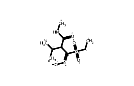 CCS(=O)(=O)C(=NO)C(C(=O)NC)C(C)C